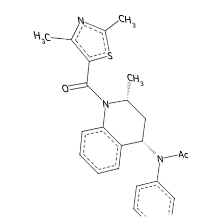 CC(=O)N(c1ccccc1)[C@H]1C[C@@H](C)N(C(=O)c2sc(C)nc2C)c2ccccc21